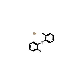 Cc1cccc[c]1[Al+][c]1ccccc1C.[Br-]